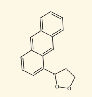 c1ccc2cc3c([C]4CCOO4)cccc3cc2c1